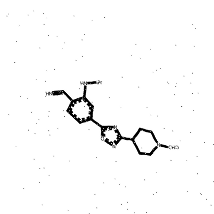 CC(C)Nc1cc(-c2nc(C3CCN(C=O)CC3)no2)ccc1C=N